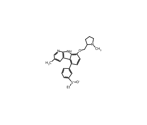 CC[S+]([O-])c1cccc(-c2ccc(OCC3CCCN3C)c3[nH]c4ncc(C)cc4c23)c1